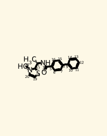 C[C@H](NC(=O)c1ccc(-c2ccccc2)cc1)C1SC=CN1O